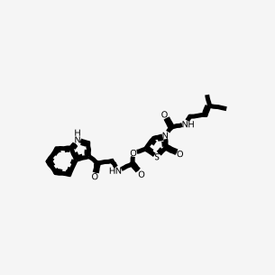 CC(C)=CCNC(=O)n1cc(OC(=O)NCC(=O)c2c[nH]c3ccccc23)sc1=O